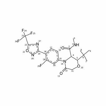 CNC(=O)C1C(C(C)(C)C)OCC(=O)N1c1ccc(-c2noc(C(F)(F)F)n2)c(F)c1